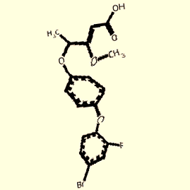 COC(=CC(=O)O)C(C)Oc1ccc(Oc2ccc(Br)cc2F)cc1